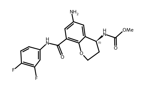 COC(=O)N[C@H]1CCOc2c(C(=O)Nc3ccc(F)c(F)c3)cc(N)cc21